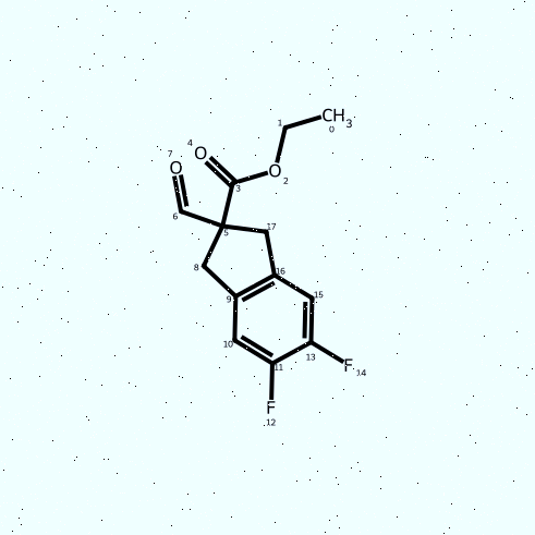 CCOC(=O)C1(C=O)Cc2cc(F)c(F)cc2C1